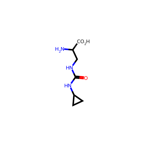 NC(CNC(=O)NC1CC1)C(=O)O